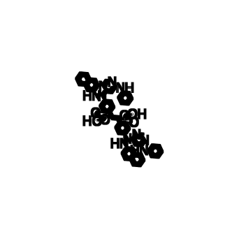 O=S(=O)(O)c1cc(N(Nc2ccc3ccccc3c2)c2cc(Nc3ccccc3)ncn2)ccc1C=Cc1ccc(N(Nc2ccc3ccccc3c2)c2cc(Nc3ccccc3)ncn2)cc1S(=O)(=O)O